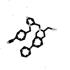 N#Cc1ccc(Cn2cncc2CN2Cc3cc(-c4ccccc4)ccc3CC2CO)cc1